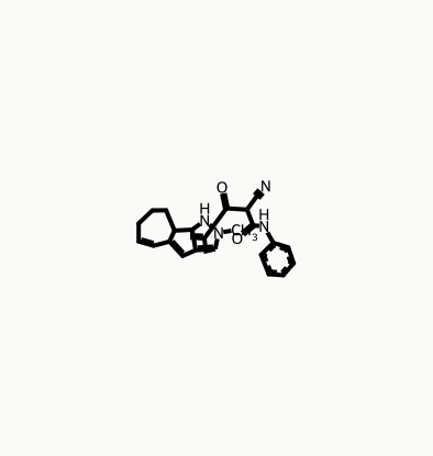 CN1NC23C=C(C(=O)C(C#N)C(=O)Nc4ccccc4)CC1=C2C=C1C=CCCCC13